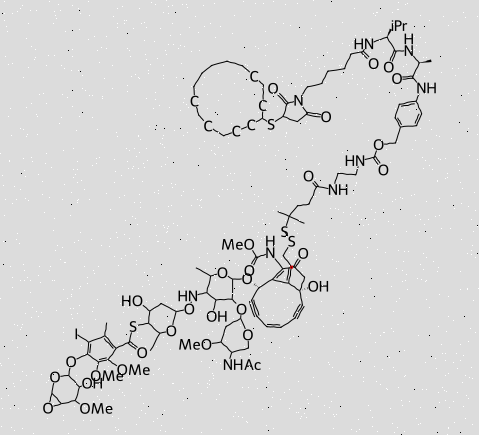 COC(=O)NC1=C2/C(=C\CSSC(C)(C)CCC(=O)NCCNC(=O)OCc3ccc(NC(=O)[C@H](C)NC(=O)[C@@H](NC(=O)CCCCCN4C(=O)CC(SC5CCCCCCCCCCCCCC5)C4=O)C(C)C)cc3)[C@](O)(C#C/C=C\C#C[C@@H]2OC2OC(C)C(NOC3CC(O)C(SC(=O)c4c(C)c(I)c(OC5OC6OC6C(OC)C5O)c(OC)c4OC)C(C)O3)C(O)C2OC2CC(OC)C(NC(C)=O)CO2)CC1=O